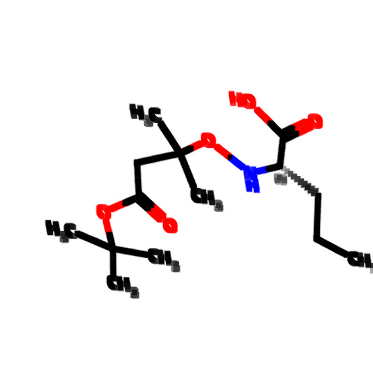 CCC[C@H](NOC(C)(C)CC(=O)OC(C)(C)C)C(=O)O